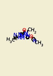 C=CCn1c(=O)c2cnc(Nc3cncc(C)c3)nc2n1-c1cccc(OC2CCN(C)CC2)n1